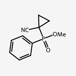 COP(=O)(c1ccccc1)C1(C#N)CC1